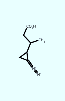 CC(CC(=O)O)C1CC1=[N+]=[N-]